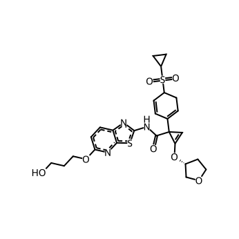 O=C(Nc1nc2ccc(OCCCO)nc2s1)C1(C2=CCC(S(=O)(=O)C3CC3)C=C2)C=C1O[C@@H]1CCOC1